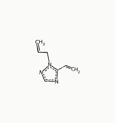 C=CCn1ncnc1C=C